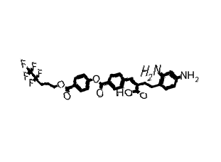 Nc1ccc(CCC(=Cc2ccc(C(=O)Oc3ccc(C(=O)OCCCC(F)(F)C(F)(F)F)cc3)cc2)C(=O)O)c(N)c1